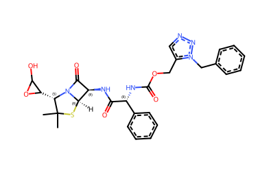 CC1(C)S[C@@H]2[C@H](NC(=O)[C@H](NC(=O)OCc3cnnn3Cc3ccccc3)c3ccccc3)C(=O)N2[C@H]1C1OC1O